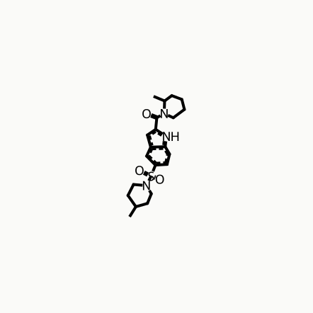 CC1CCN(S(=O)(=O)c2ccc3[nH]c(C(=O)N4CCCCC4C)cc3c2)CC1